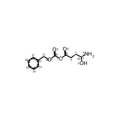 N[C@@H](O)CCC(=O)OC(=O)OCc1ccccc1